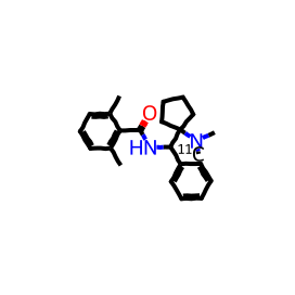 Cc1cccc(C)c1C(=O)NC(c1ccccc1)C1(N(C)[11CH3])CCCC1